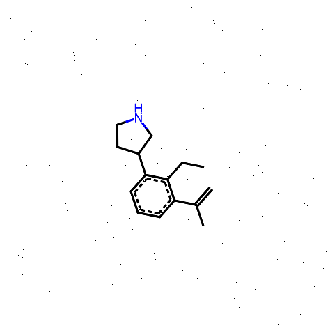 C=C(C)c1cccc(C2CCNC2)c1CC